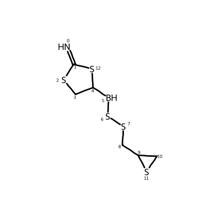 N=C1SCC(BSSCC2CS2)S1